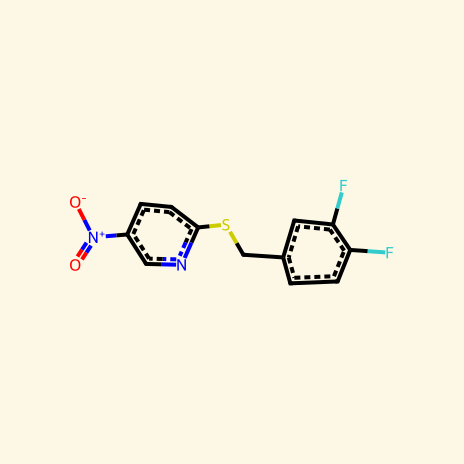 O=[N+]([O-])c1ccc(SCc2ccc(F)c(F)c2)nc1